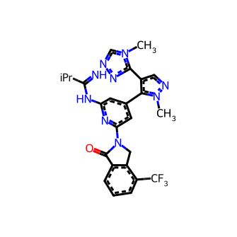 CC(C)C(=N)Nc1cc(-c2c(-c3nncn3C)cnn2C)cc(N2Cc3c(cccc3C(F)(F)F)C2=O)n1